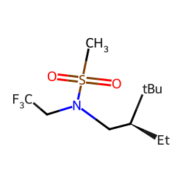 CC[C@@H](CN(CC(F)(F)F)S(C)(=O)=O)C(C)(C)C